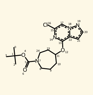 CC(C)(C)OC(=O)N1CCCC(Oc2nc(Cl)cn3nccc23)CC1